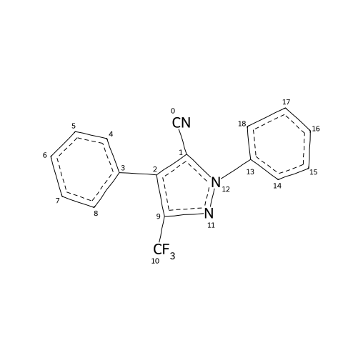 N#Cc1c(-c2ccccc2)c(C(F)(F)F)nn1-c1ccccc1